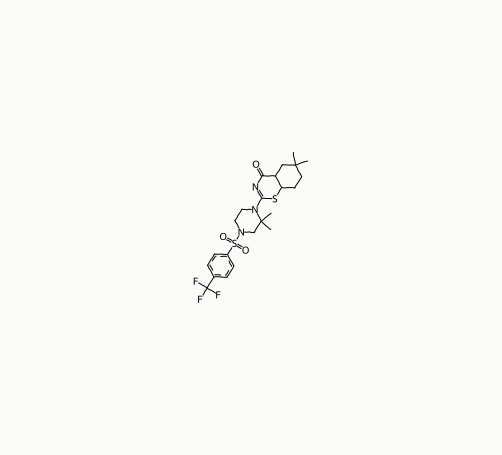 CC1(C)CCC2SC(N3CCN(S(=O)(=O)c4ccc(C(F)(F)F)cc4)CC3(C)C)=NC(=O)C2C1